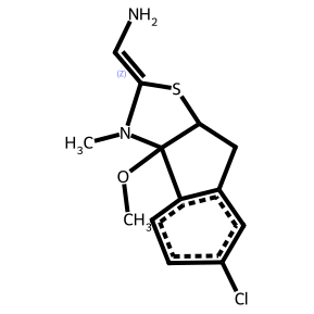 COC12c3ccc(Cl)cc3CC1S/C(=C\N)N2C